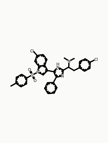 Cc1ccc(S(=O)(=O)n2cc(-c3[nH]c(C(Cc4ccc(Cl)cc4)N(C)C)nc3-c3ccccc3)c3ccc(Cl)cc32)cc1